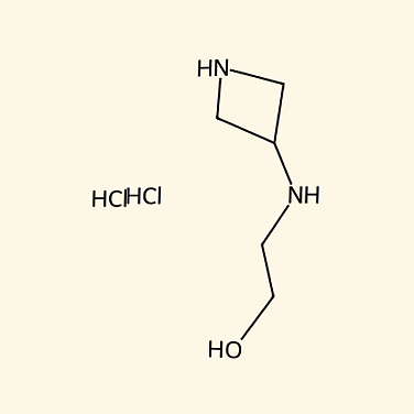 Cl.Cl.OCCNC1CNC1